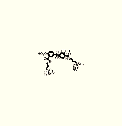 CCO[Si](CCCNC(=O)c1ccc(C(c2ccc(C(=O)O)c(C(=O)NCCC[Si](OCC)(OCC)OCC)c2)(C(F)(F)F)C(F)(F)F)cc1C(=O)O)(OCC)OCC